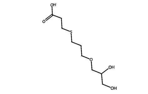 O=C(O)CCSCCCOCC(O)CO